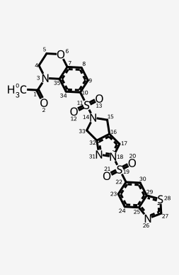 CC(=O)N1CCOc2ccc(S(=O)(=O)N3Cc4cn(S(=O)(=O)c5ccc6ncsc6c5)nc4C3)cc21